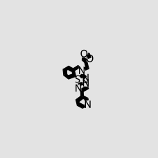 C1=C(CN(Cc2ccccc2)c2nn3cc(-c4cccnc4)nc3s2)OCO1